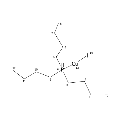 CCCC[PH](CCCC)(CCCC)[Cu][I]